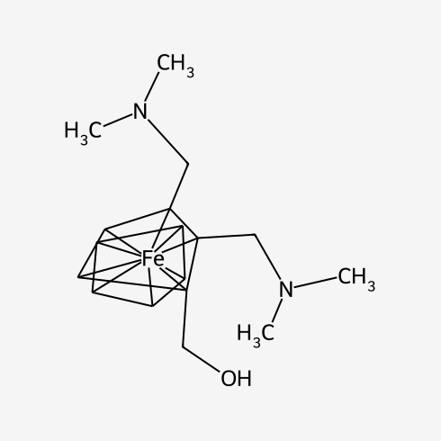 CN(C)C[C]12[CH]3[CH]4[C]5(CO)[C]1(CN(C)C)[Fe]43521678[CH]2[CH]1[CH]6[CH]7[CH]28